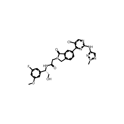 COc1cc(F)cc([C@@H](CO)NC(=O)CN2Cc3ccc(-c4nc(Nc5cnn(C)n5)ncc4Cl)cc3C2=O)c1